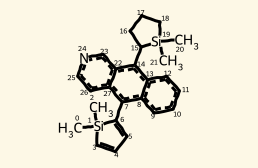 C[Si]1(C)C=CC=C1c1c2ccccc2c(C2CCC[Si]2(C)C)c2cnccc12